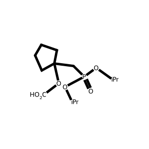 CC(C)OP(=O)(CC1(OC(=O)O)CCCC1)OC(C)C